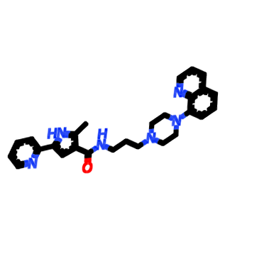 Cc1[nH]c(-c2ccccn2)cc1C(=O)NCCCN1CCN(c2cccc3cccnc23)CC1